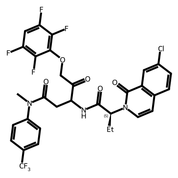 CC[C@@H](C(=O)NC(CC(=O)N(C)c1ccc(C(F)(F)F)cc1)C(=O)COc1c(F)c(F)cc(F)c1F)n1ccc2ccc(Cl)cc2c1=O